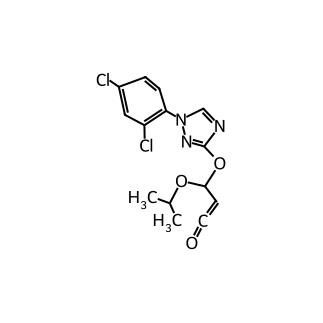 CC(C)OC(C=C=O)Oc1ncn(-c2ccc(Cl)cc2Cl)n1